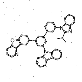 CC(C)c1nc2ccccc2n1-c1cccc(-c2cc(-c3ccc4oc5cccnc5c4c3)cc(-n3c4ccccc4c4ccccc43)c2)c1